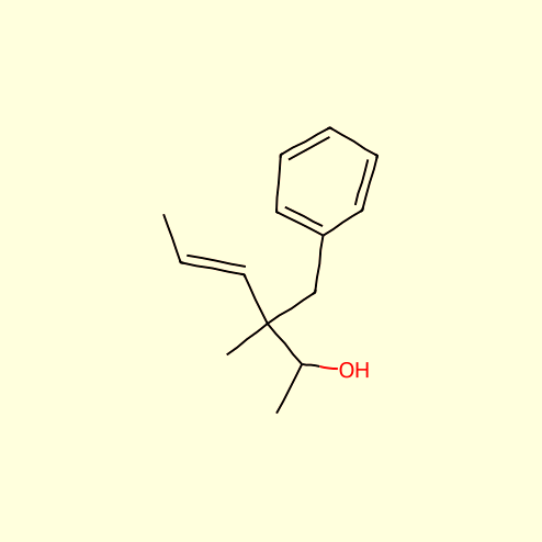 CC=CC(C)(Cc1ccccc1)C(C)O